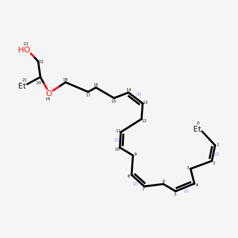 CC/C=C\C/C=C\C/C=C\C/C=C\C/C=C\CCCCOC(CC)CO